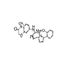 COc1ccccc1-c1ccc2cnc(Nc3ccc4c(c3)OCC(=O)N4C)nn12